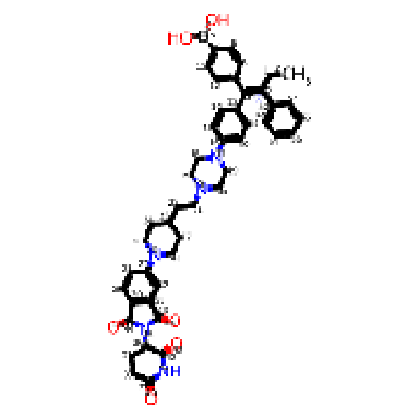 CC/C(=C(\c1ccc(B(O)O)cc1)c1ccc(N2CCN(CCC3CCN(c4ccc5c(c4)C(=O)N(C4CCC(=O)NC4=O)C5=O)CC3)CC2)cc1)c1ccccc1